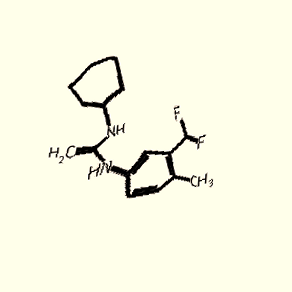 C=C(Nc1ccc(C)c(C(F)F)c1)NC1CCCCC1